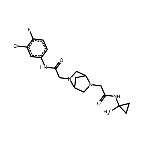 CC1(NC(=O)CN2CC3CC2CN3CC(=O)Nc2ccc(F)c(Cl)c2)CC1